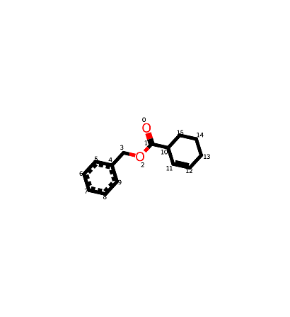 O=C(OCc1ccccc1)C1C=CCCC1